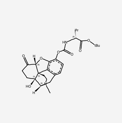 CC(C)[C@@H](NC(=O)Oc1ccc2c3c1O[C@H]1C(=O)CC[C@@]4(O)[C@@H](C2)N(C)CC[C@]314)C(=O)OC(C)(C)C